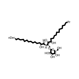 CCCCCCCCCCCCCCCCCCCCCC[C@@H](O)C(=O)N[C@@H](CO[C@@H]1O[C@H](CO)[C@H](O)[C@H](O)[C@H]1O)[C@H](O)[C@H](O)CCCCCCCCCCCC(C)C